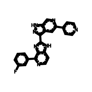 Fc1cccc(-c2nccc3[nH]c(-c4n[nH]c5cnc(-c6ccncc6)cc45)nc23)c1